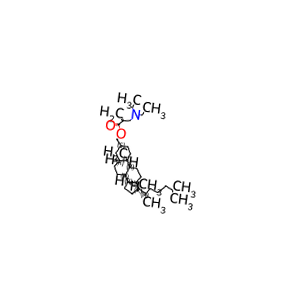 C=C(CN(CC)CC)C(=O)OC[C@H]1CC[C@@]2(C)[C@H](CC[C@H]3[C@H]4CC[C@H]([C@H](C)CCCC(C)C)[C@@]4(C)CC[C@H]32)C1